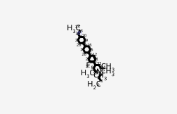 C=CCCN1C(C)(C)CC(c2ccc(C3CCC(C4CCC(/C=C/C)CC4)CC3)cc2F)CC1(C)C